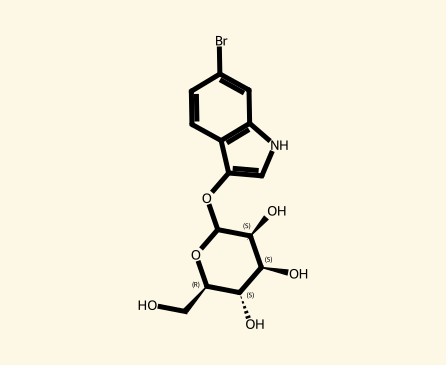 OC[C@H]1OC(Oc2c[nH]c3cc(Br)ccc23)[C@@H](O)[C@@H](O)[C@@H]1O